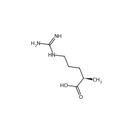 C[C@H](CCCNC(=N)N)C(=O)O